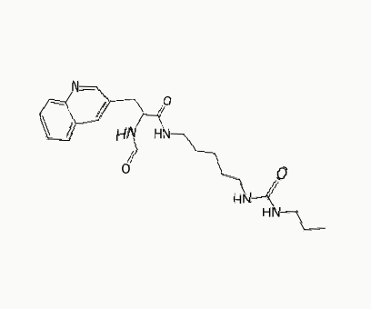 CCCNC(=O)NCCCCCNC(=O)C(Cc1cnc2ccccc2c1)NC=O